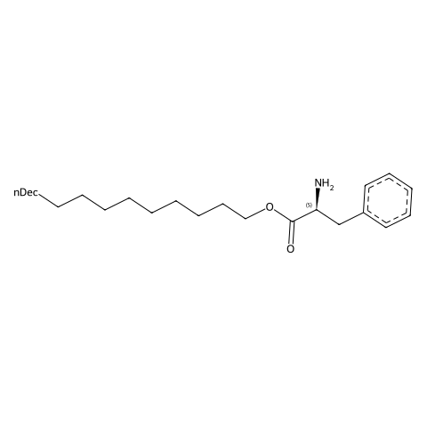 CCCCCCCCCCCCCCCCCCCOC(=O)[C@@H](N)Cc1ccccc1